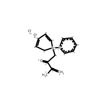 C=C(C)C(=O)C[N+]1([n+]2ccccc2)C=CC=CC1.[Cl-].[Cl-]